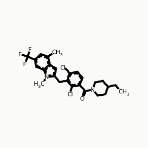 CCC1CCN(C(=O)c2ccc(Cl)c(Cc3cc4c(C)cc(C(F)(F)F)cc4n3C)c2Cl)CC1